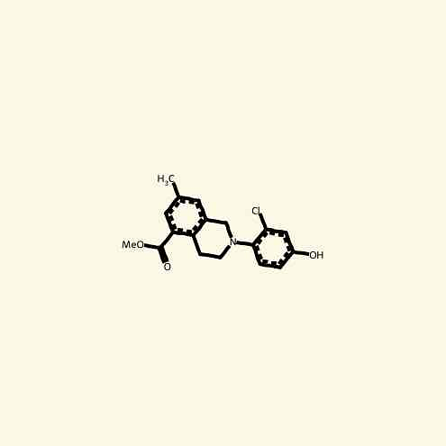 COC(=O)c1cc(C)cc2c1CCN(c1ccc(O)cc1Cl)C2